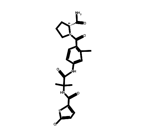 Cc1cc(NC(=O)C(C)(C)NC(=O)c2ccc(Cl)s2)ccc1C(=O)N1CCC[C@@H]1C(N)=O